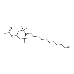 C=CCCCCCCCCCN1C(C)(C)CC(OC(C)=O)CC1(C)C